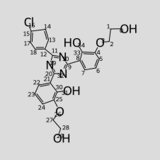 OCCOc1cccc(-c2nc(-c3ccc(Cl)cc3)nc(-c3cccc(OCCO)c3O)n2)c1O